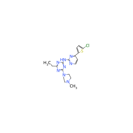 CCc1nc(Nc2nccc(-c3ccc(Cl)s3)n2)nc(N2CCN(C)CC2)n1